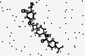 CC(C)c1ccc(C(=O)NC2CCC3(CC2)CC(Oc2ccc(C#N)c(Cl)c2)C3)cc1